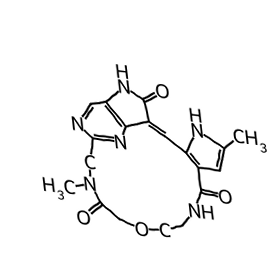 Cc1cc2c([nH]1)/C=C1\C(=O)Nc3cnc(nc31)CN(C)C(=O)COCCNC2=O